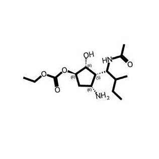 CCOC(=O)O[C@@H]1C[C@@H](N)[C@@H](C(NC(C)=O)C(C)CC)[C@H]1O